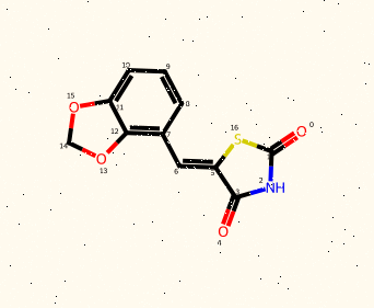 O=C1NC(=O)/C(=C/c2cccc3c2OCO3)S1